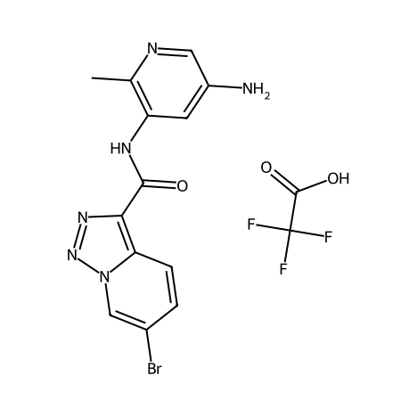 Cc1ncc(N)cc1NC(=O)c1nnn2cc(Br)ccc12.O=C(O)C(F)(F)F